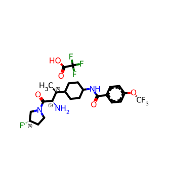 C[C@@H](C1CCC(NC(=O)c2ccc(OC(F)(F)F)cc2)CC1)[C@H](N)C(=O)N1CC[C@H](F)C1.O=C(O)C(F)(F)F